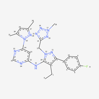 CCc1c(-c2ccc(F)cc2)nn(Cc2nnn(C)n2)c1Nc1cc(-n2nc(C)cc2C)ncn1